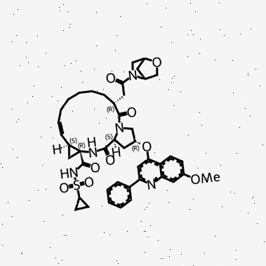 COc1ccc2c(O[C@@H]3C[C@H]4C(=O)N[C@]5(C(=O)NS(=O)(=O)C6CC6)C[C@H]5C=CCCCCC[C@H](CC(=O)N5CC6CC5CO6)C(=O)N4C3)cc(-c3ccccc3)nc2c1